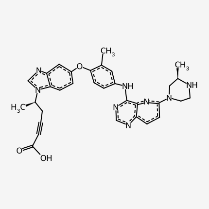 Cc1cc(Nc2ncnc3ccc(N4CCN[C@H](C)C4)nc23)ccc1Oc1ccc2c(c1)ncn2[C@H](C)CC#CC(=O)O